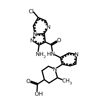 CC1CC(C(=O)O)CCN1c1ccncc1NC(=O)c1c(N)nn2cc(Cl)cnc12